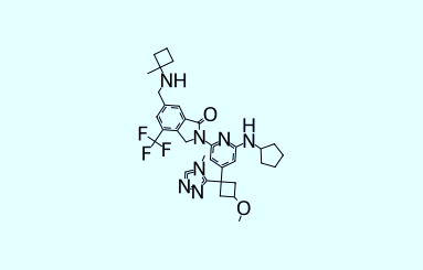 COC1CC(c2cc(NC3CCCC3)nc(N3Cc4c(cc(CNC5(C)CCC5)cc4C(F)(F)F)C3=O)c2)(c2nncn2C)C1